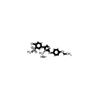 Br.CCOc1ccc(/N=c2\scc(-c3ccc(Cl)c(S(N)(=O)=O)c3)n2C)cc1